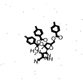 Cc1ccc(C(=O)OCC2O[C@@H](c3n[nH]c(C#N)c3N)[C@](C)(OC(=O)c3ccc(C)cc3)[C@@H]2OC(=O)c2ccc(C)cc2)cc1